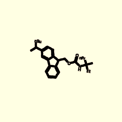 CCCCC(C)c1ccc2c(c1)-c1ccccc1C2COC(=O)NC(C)(CC)CCC